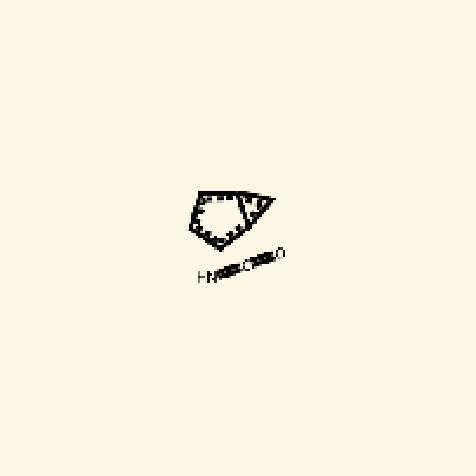 N=C=O.c1cc2cc-2c1